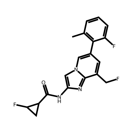 Cc1cccc(F)c1-c1cc(CF)c2nc(NC(=O)C3CC3F)cn2c1